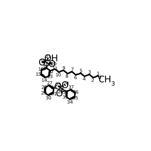 CCCCCCCCCCCCc1ccccc1S(=O)(=O)O.O=S(=O)(Oc1ccccc1)c1ccccc1